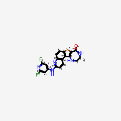 C[C@@H]1CNc2c(sc3ccc4nc(Nc5cc(F)nc(F)c5)ccc4c23)C(=O)N1